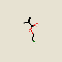 C=C(C)C(=O)OCCF